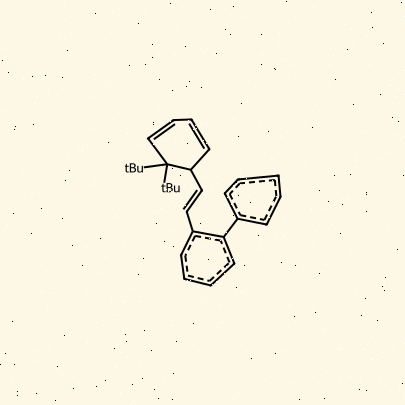 CC(C)(C)C1(C(C)(C)C)C=CC=CC1C=Cc1ccccc1-c1ccccc1